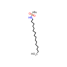 CCCCS(=O)(=O)NCCCCCCCCCCCCCCCC(=O)O